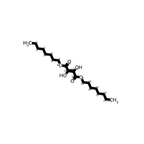 CCCCCCCCOC(=O)/C(O)=C(\O)C(=O)OCCCCCCCC